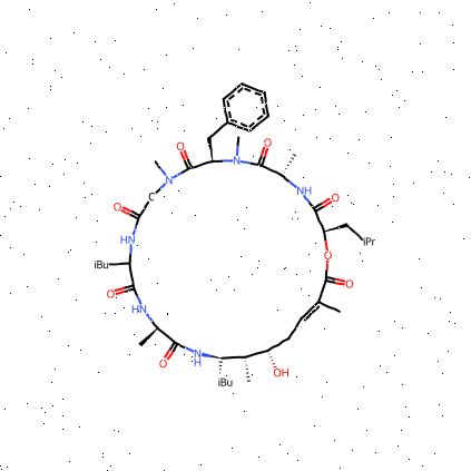 CCC(C)C1NC(=O)CN(C)C(=O)[C@@H](Cc2ccccc2)N(C)C(=O)[C@H](C)NC(=O)[C@@H](CC(C)C)OC(=O)/C(C)=C/C[C@H](O)[C@H](C)[C@@H]([C@@H](C)CC)NC(=O)[C@@H](C)NC1=O